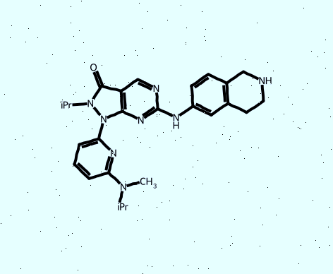 CC(C)N(C)c1cccc(-n2c3nc(Nc4ccc5c(c4)CCNC5)ncc3c(=O)n2C(C)C)n1